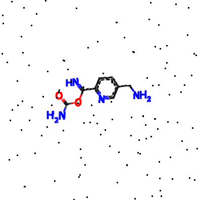 N=C(OC(N)=O)c1ccc(CN)cn1